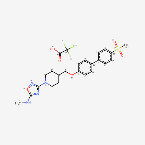 CNc1nc(N2CCC(COc3ccc(-c4ccc(S(C)(=O)=O)cc4)cc3)CC2)no1.O=C(O)C(F)(F)F